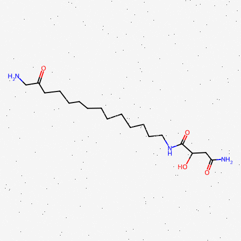 NCC(=O)CCCCCCCCCCCCNC(=O)C(O)CC(N)=O